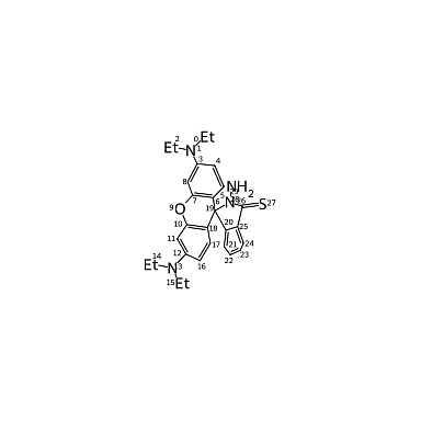 CCN(CC)c1ccc2c(c1)Oc1cc(N(CC)CC)ccc1C21c2ccccc2C(=S)N1N